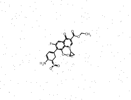 CCOC(=O)c1cn(C2CC2)c2c(OC)c(C3=CC=C(N)C(=S(=O)=O)C3)c(F)cc2c1=O